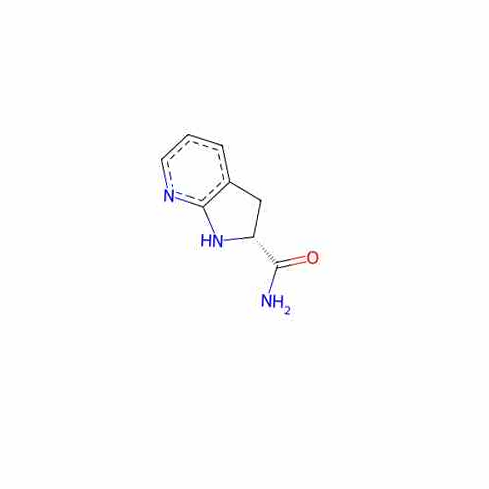 NC(=O)[C@H]1Cc2cccnc2N1